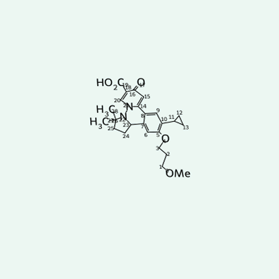 COCCCOc1cc2c(cc1C1CC1)-c1cc(=O)c(C(=O)O)cn1N1C2CCC1(C)C